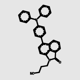 N#CCCCN1C(=O)c2cccc3c(-c4ccc(N(c5ccccc5)c5ccccc5)cc4)ccc1c23